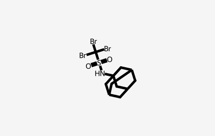 O=S(=O)(NC12CC3CC(CC(C3)C1)C2)C(Br)(Br)Br